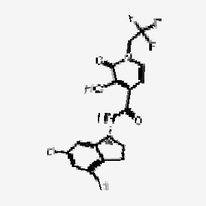 O=C(N[C@@H]1CCc2c(Cl)cc(Cl)cc21)c1ccn(CC(F)(F)F)c(=O)c1O